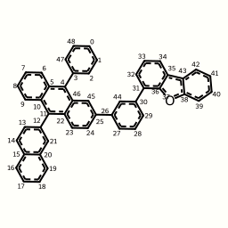 c1ccc(-c2c3ccccc3c(-c3ccc4ccccc4c3)c3ccc(-c4cccc(-c5cccc6c5oc5ccccc56)c4)cc23)cc1